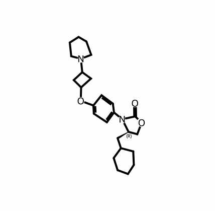 O=C1OC[C@@H](CC2CCCCC2)N1c1ccc(OC2CC(N3CCCCC3)C2)cc1